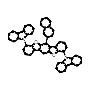 c1ccc2cc(-c3c4oc5c(-n6c7ccccc7c7ccccc76)cccc5c4cc4oc5c(-n6c7ccccc7c7ccccc76)cccc5c34)ccc2c1